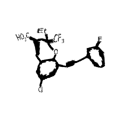 CCC1(C(F)(F)F)Oc2c(C#Cc3cccc(F)c3)cc(Cl)cc2C=C1C(=O)O